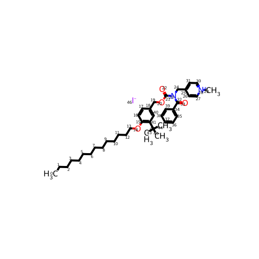 CCCCCCCCCCCCCCOc1ccc(COC(=O)N(Cc2cc[n+](C)cc2)C(=O)c2ccccc2)cc1C(C)(C)C.[I-]